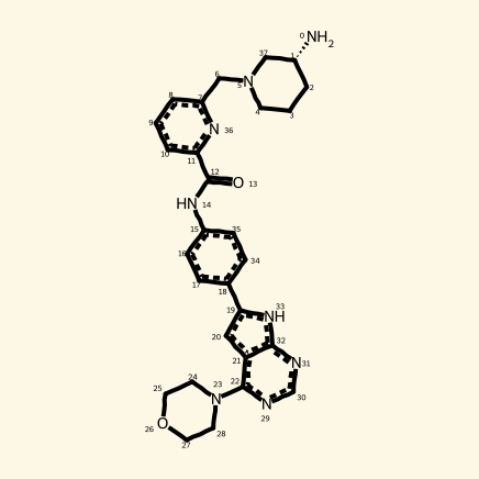 N[C@@H]1CCCN(Cc2cccc(C(=O)Nc3ccc(-c4cc5c(N6CCOCC6)ncnc5[nH]4)cc3)n2)C1